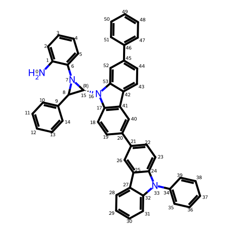 Nc1ccccc1N1C(c2ccccc2)[C@H]1n1c2ccc(-c3ccc4c(c3)c3ccccc3n4-c3ccccc3)cc2c2ccc(-c3ccccc3)cc21